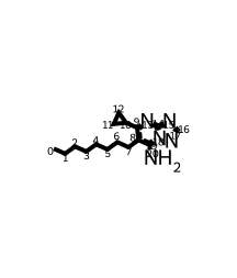 CCCCCCCCc1c(C2CC2)nc2ncnn2c1N